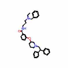 CCN(CCCNC(=O)c1cccc(OC2CCCN(CC(c3ccccc3)c3ccccc3)C2)c1)Cc1ccccc1